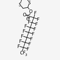 O=S(=O)(OC1CSCCS1)C(F)(F)C(F)(F)C(F)(F)C(F)(F)C(F)(F)C(F)(F)C(F)(F)C(F)(F)F